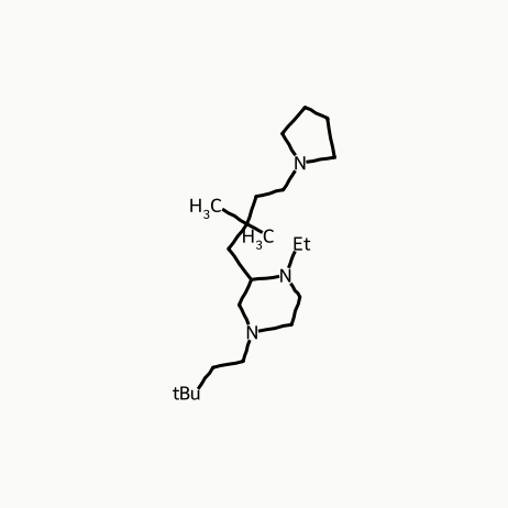 CCN1CCN(CCC(C)(C)C)CC1CC(C)(C)CCN1CCCC1